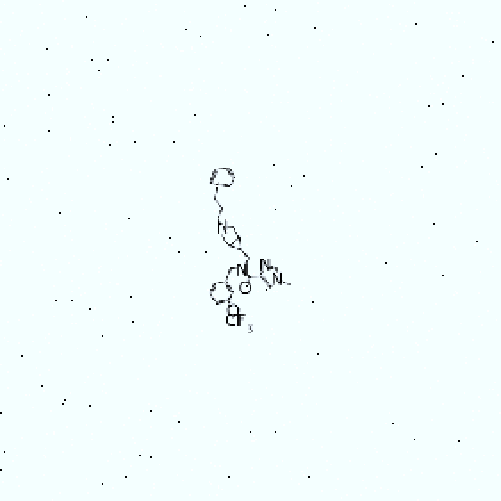 Cn1cnc(C(=O)N(Cc2cccc(OC(F)(F)F)c2)CC2C3CN(CCCc4ccccc4)CC32)c1